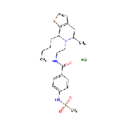 CCCCC1c2sccc2CC(C)N1CCNC(=O)c1ccc(NS(C)(=O)=O)cc1.Cl